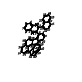 c1cc(-c2nc3ccccc3nc2-c2cccc3ccccc23)c2c(c1)C1(c3c-2ccc2ccccc32)C2CC3CC(C2)CC1C3